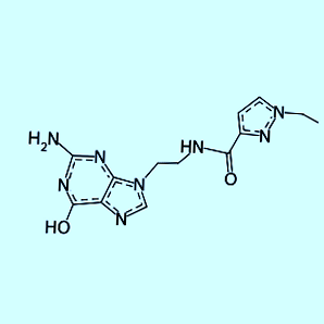 CCn1ccc(C(=O)NCCn2cnc3c(O)nc(N)nc32)n1